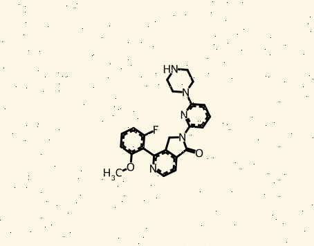 COc1cccc(F)c1-c1nccc2c1CN(c1cccc(N3CCNCC3)n1)C2=O